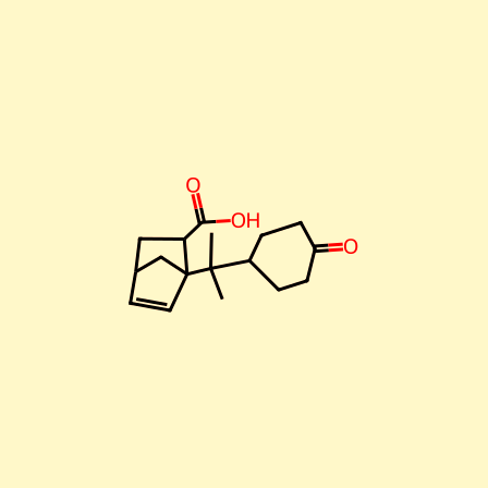 CC(C)(C1CCC(=O)CC1)C12C=CC(CC1C(=O)O)C2